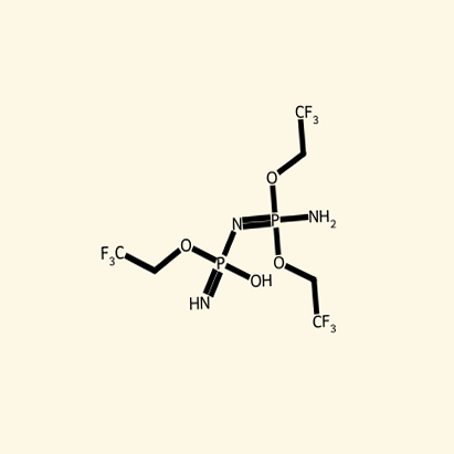 N=P(O)(N=P(N)(OCC(F)(F)F)OCC(F)(F)F)OCC(F)(F)F